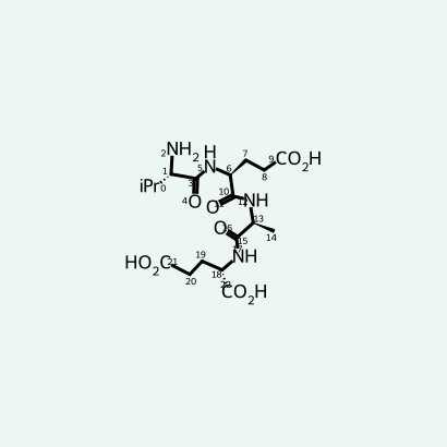 CC(C)[C@H](N)C(=O)N[C@@H](CCC(=O)O)C(=O)N[C@@H](C)C(=O)N[C@@H](CCC(=O)O)C(=O)O